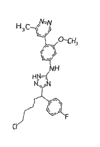 COc1cc(Nc2nc(C(CCCCCl)c3ccc(F)cc3)n[nH]2)ccc1-c1cnnc(C)c1